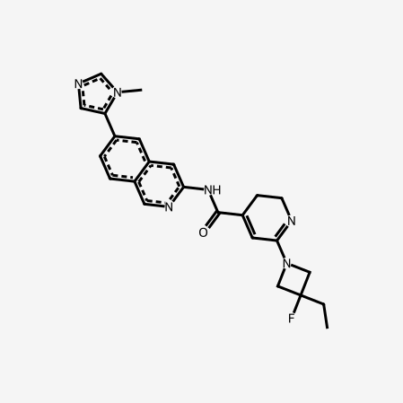 CCC1(F)CN(C2=NCCC(C(=O)Nc3cc4cc(-c5cncn5C)ccc4cn3)=C2)C1